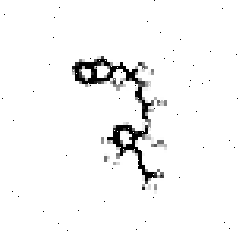 Cc1c(F)ccc([C@@H](C)OC[C@H](O)CNC(C)(C)CC2Cc3ccccc3C2)c1CCC(=O)O